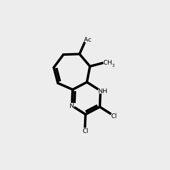 CC(=O)C1CC=CC2=NC(Cl)=C(Cl)NC2C1C